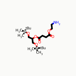 CC(C)(C)[Si](C)(C)OCC(CO[Si](C)(C)C(C)(C)C)OC(=O)CCC(=O)OCCN